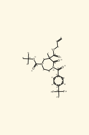 C=CCOC(=O)C1(C)CN(C(=O)OC(C)(C)C)CCN(C(=O)c2ccc(C(F)(F)F)cc2)C1=O